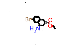 CCOC(=O)[C@@H]1Cc2ccc(Br)cc2[C@@H](N)C1